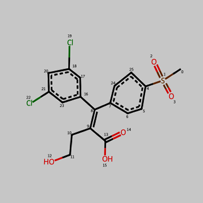 CS(=O)(=O)c1ccc(C(=C(CCO)C(=O)O)c2cc(Cl)cc(Cl)c2)cc1